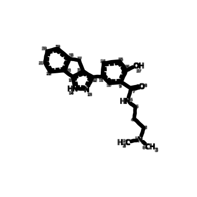 CN(C)CCCNC(=O)c1cc(-c2n[nH]c3c2Cc2ccccc2-3)ccc1O